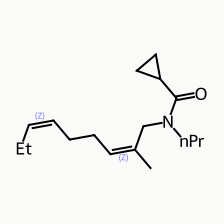 CC/C=C\CC/C=C(/C)CN(CCC)C(=O)C1CC1